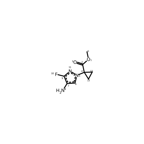 COC(=O)C1(n2cc(N)c(F)n2)CC1